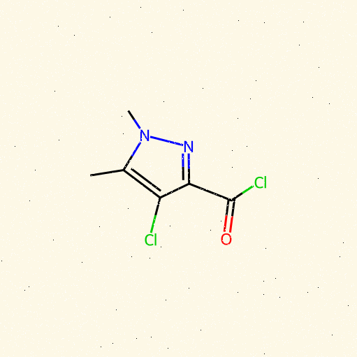 Cc1c(Cl)c(C(=O)Cl)nn1C